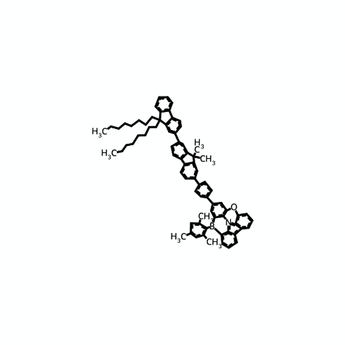 CCCCCCCCC1(CCCCCCCC)c2ccccc2-c2ccc(-c3ccc4c(c3)C(C)(C)c3cc(-c5ccc(-c6cc7c8c(c6)B(c6c(C)cc(C)cc6C)c6cccc9c%10cccc(c%10n-8c69)O7)cc5)ccc3-4)cc21